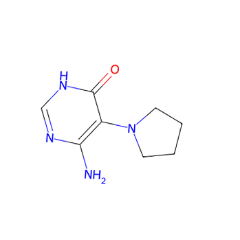 Nc1nc[nH]c(=O)c1N1CCCC1